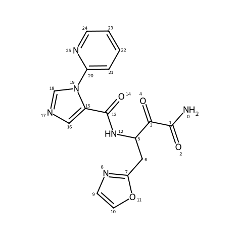 NC(=O)C(=O)C(Cc1ncco1)NC(=O)c1cncn1-c1ccccn1